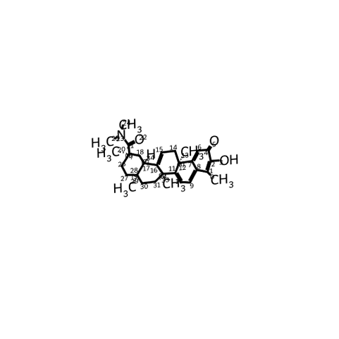 CC1=C(O)C(=O)C=C2C1=CC=C1[C@@]2(C)CC=C2[C@@H]3C[C@](C)(C(=O)N(C)C)CC[C@]3(C)CC[C@@]21C